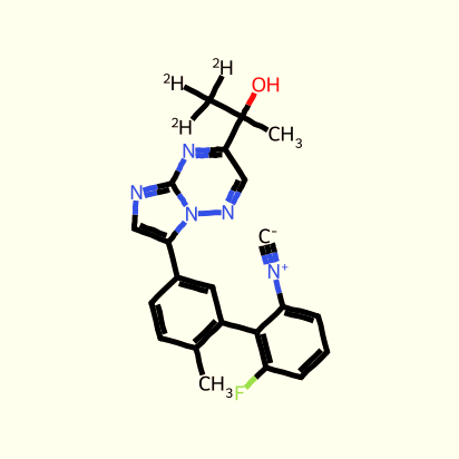 [2H]C([2H])([2H])C(C)(O)c1cnn2c(-c3ccc(C)c(-c4c(F)cccc4[N+]#[C-])c3)cnc2n1